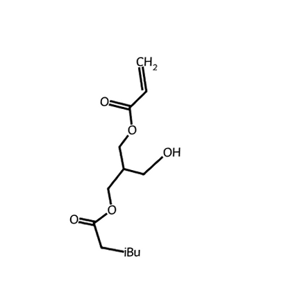 C=CC(=O)OCC(CO)COC(=O)CC(C)CC